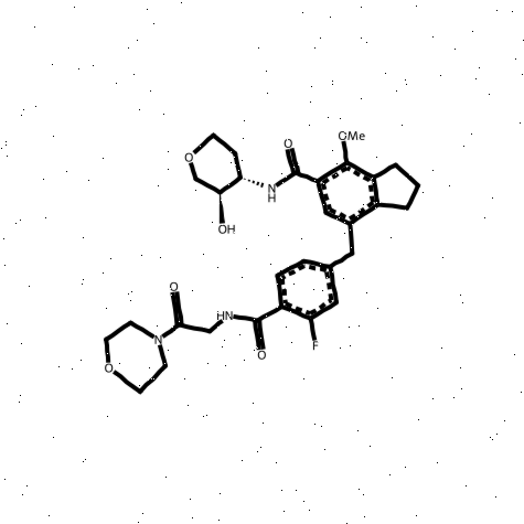 COc1c(C(=O)N[C@H]2CCOC[C@@H]2O)cc(Cc2ccc(C(=O)NCC(=O)N3CCOCC3)c(F)c2)c2c1CCC2